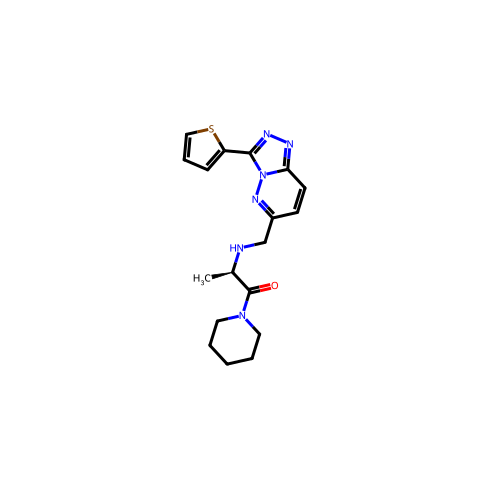 C[C@@H](NCc1ccc2nnc(-c3cccs3)n2n1)C(=O)N1CCCCC1